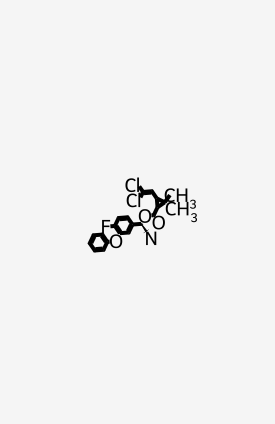 CC1(C)C(C=C(Cl)Cl)C1C(=O)O[C@@H](C#N)c1ccc(F)c(Oc2ccccc2)c1